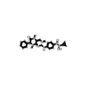 C=N/C=C1\C(=N/CNc2ccc([S+]([O-])N(O)C3CC3)cc2)N(C)C(c2ccccc2)C(=O)N1C